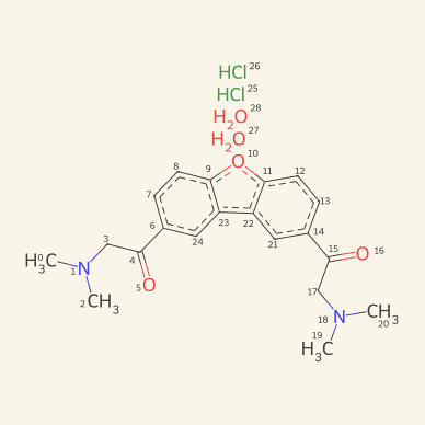 CN(C)CC(=O)c1ccc2oc3ccc(C(=O)CN(C)C)cc3c2c1.Cl.Cl.O.O